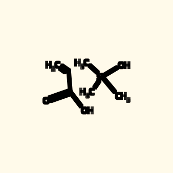 C=CC(=O)O.C[Si](C)(C)O